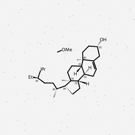 CC[C@H](CC[C@@H](C)[C@H]1CC[C@H]2[C@@H]3CC=C4C[C@@H](O)CC[C@]4(C)[C@H]3CC[C@]12C)C(C)C.COC